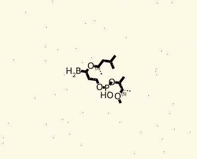 BC(CCOP(O)OC(C)[C@H](C)OC)O[C@@H](C)CC(C)C